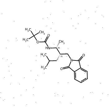 CC(C)C[C@@H](CN1C(=O)c2ccccc2C1=O)[C@@H](C)NC(=O)OC(C)(C)C